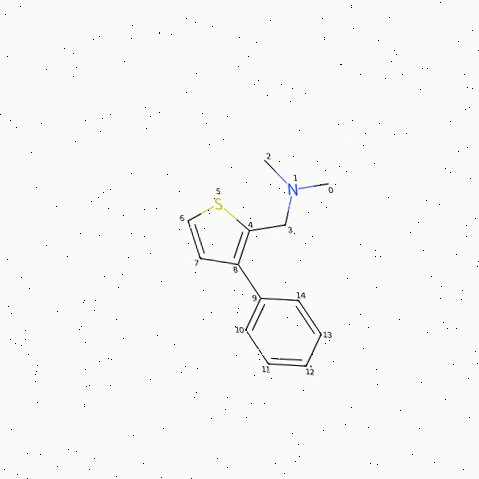 CN(C)Cc1sccc1-c1cc[c]cc1